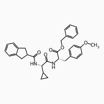 COc1ccc(C[C@H](NC(=O)[C@@H](NC(=O)C2Cc3ccccc3C2)C2CC2)C(=O)OCc2ccccc2)cc1